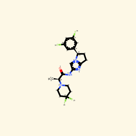 C[C@@H](C(=O)Nc1cn2c(n1)CC[C@@H]2c1cc(F)cc(F)c1)N1CCC(F)(F)CC1